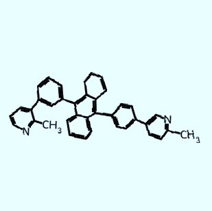 Cc1ccc(-c2ccc(-c3c4c(c(-c5cccc(-c6cccnc6C)c5)c5ccccc35)CCC=C4)cc2)cn1